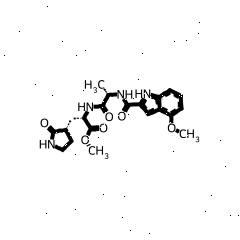 COC(=O)[C@H](C[C@@H]1CCNC1=O)NC(=O)[C@H](C)NC(=O)c1cc2c(OC)cccc2[nH]1